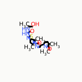 COc1nc(-c2cnc(N3[C@H](C)Cc4nc(NC(=O)N[C@H](C)CO)sc4[C@@H]3C)o2)ccc1C